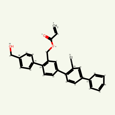 C=CC(=O)OCc1cc(-c2ccc(-c3ccccc3)cc2CC)ccc1-c1ccc(CO)cc1